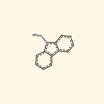 CCCCCn1c2ccccc2c2ccncc21